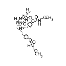 COCCNC(=O)COc1ccc(CCC[N+]2(CCCc3ccc(OCC(=O)NCCOC)cc3)CCC[C@H](NC(=O)c3nc(Cl)c(N)nc3N)C2)cc1